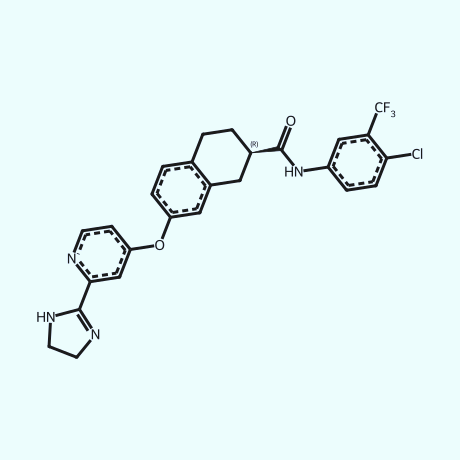 O=C(Nc1ccc(Cl)c(C(F)(F)F)c1)[C@@H]1CCc2ccc(Oc3ccnc(C4=NCCN4)c3)cc2C1